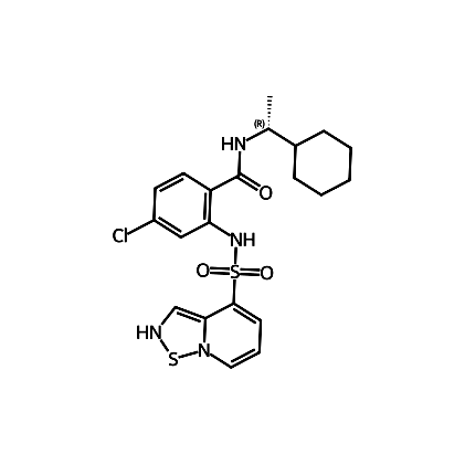 C[C@@H](NC(=O)c1ccc(Cl)cc1NS(=O)(=O)C1=CC=CN2SNC=C12)C1CCCCC1